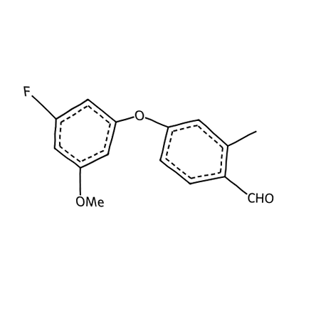 COc1cc(F)cc(Oc2ccc(C=O)c(C)c2)c1